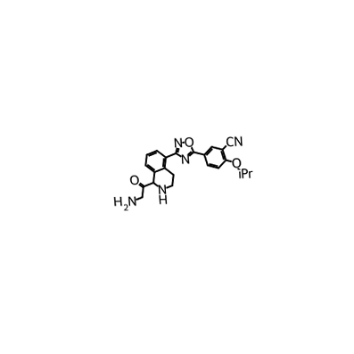 CC(C)Oc1ccc(-c2nc(-c3cccc4c3CCNC4C(=O)CN)no2)cc1C#N